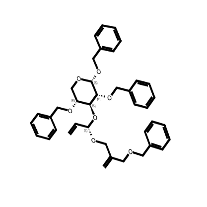 C=C[C@@H](OCC(=C)COCc1ccccc1)O[C@@H]1[C@@H](OCc2ccccc2)[C@@H](OCc2ccccc2)OC[C@H]1OCc1ccccc1